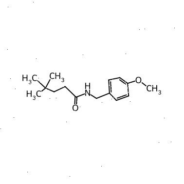 COc1ccc(CNC(=O)CCC(C)(C)C)cc1